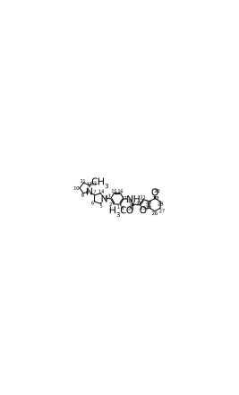 Cc1cc(N2CCC(N3CCCC3C)C2)ccc1NC(=O)c1cc2c(o1)CCCC2=O